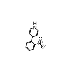 O=[N+]([O-])c1ccccc1C1C=CNC=C1